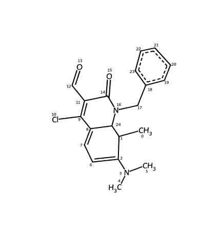 CC1C(N(C)C)=CC=C2C(Cl)=C(C=O)C(=O)N(Cc3ccccc3)C21